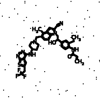 C=CC(=O)Nc1ccc(C(O)Cn2c(C#N)cc3c(C)c(CN4CCC(Nc5ncnc6sc(CC(F)(F)F)cc56)CC4)ccc32)cc1CC